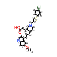 COc1ccc2nccc(CCC[C@@H]3CCN(CCCSc4ccc(Cl)cc4)C[C@@H]3CCC(=O)O)c2c1